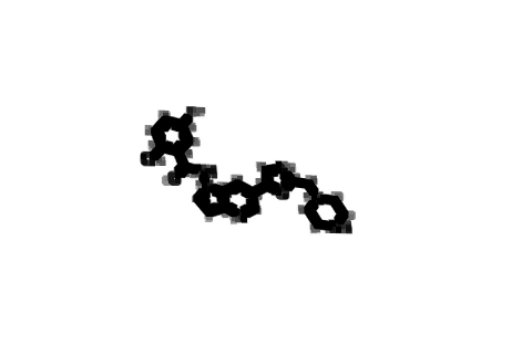 O=C(Nn1ccc2ncc(-c3cnc(CN4CCNCC4)o3)cc21)c1cc(F)ccc1Cl